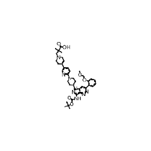 COCOc1ccccc1-c1cc2c(nn1)c(NC(=O)OC(C)(C)C)nn2C1CCN(c2ccc(C3=CCN(CC(C)(C)C(=O)O)CC3)cn2)CC1